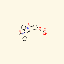 CCC(=O)N(c1ccccc1)[C@@H]1C[C@H](C)N(C(=O)c2ccc(OCC(=O)O)cc2)c2ccccc21